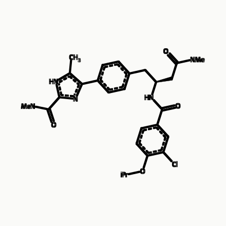 CNC(=O)C[C@H](Cc1ccc(-c2nc(C(=O)NC)[nH]c2C)cc1)NC(=O)c1ccc(OC(C)C)c(Cl)c1